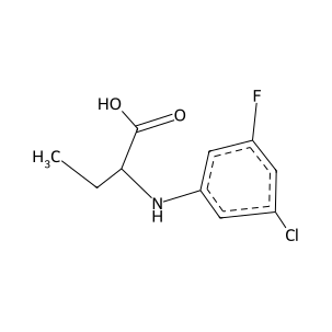 CCC(Nc1cc(F)cc(Cl)c1)C(=O)O